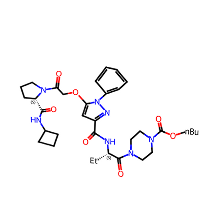 CCCCOC(=O)N1CCN(C(=O)[C@H](CC)NC(=O)c2cc(OCC(=O)N3CCC[C@H]3C(=O)NC3CCC3)n(-c3ccccc3)n2)CC1